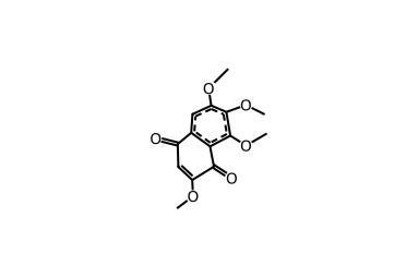 COC1=CC(=O)c2cc(OC)c(OC)c(OC)c2C1=O